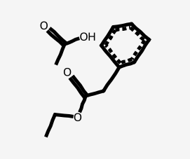 CC(=O)O.CCOC(=O)Cc1ccccc1